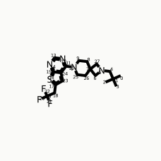 CC(C)(C)CN1CC2(CCN(c3ncnc4sc(CC(F)(F)F)cc34)CC2)C1